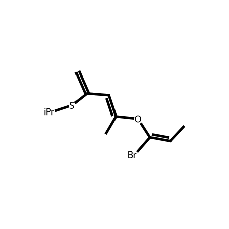 C=C(/C=C(\C)O/C(Br)=C\C)SC(C)C